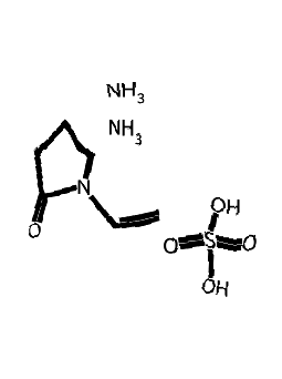 C=CN1CCCC1=O.N.N.O=S(=O)(O)O